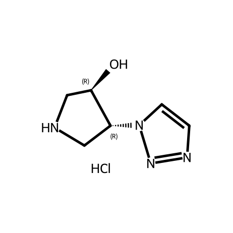 Cl.O[C@@H]1CNC[C@H]1n1ccnn1